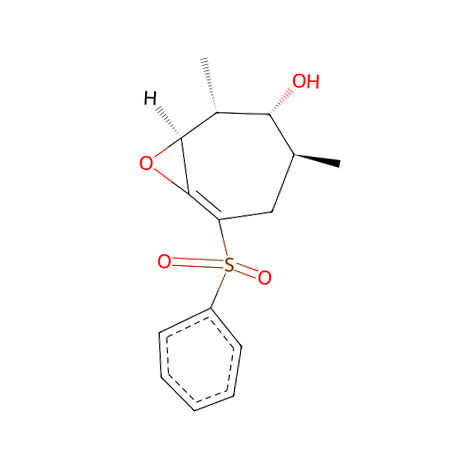 C[C@@H]1[C@H](O)[C@@H](C)CC(S(=O)(=O)c2ccccc2)=C2O[C@H]21